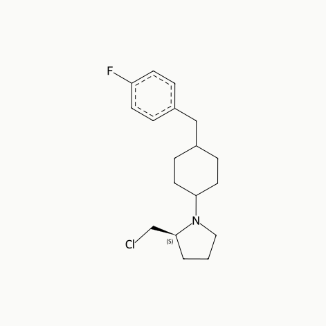 Fc1ccc(CC2CCC(N3CCC[C@H]3CCl)CC2)cc1